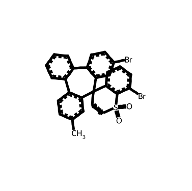 Cc1ccc2c(c1)C1(c3cc(Br)ccc3-c3ccccc3-2)c2ccccc2S(=O)(=O)c2c(Br)cccc21